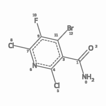 NC(=O)c1c(Cl)nc(Cl)c(F)c1Br